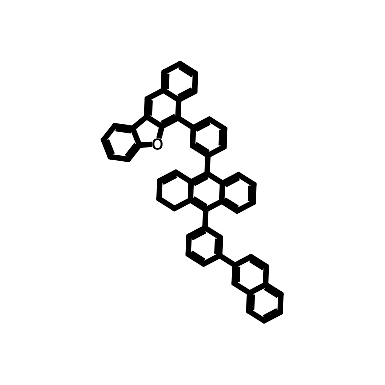 C1=Cc2c(c(-c3cccc(-c4ccc5ccccc5c4)c3)c3ccccc3c2-c2cccc(-c3c4ccccc4cc4c3oc3ccccc34)c2)CC1